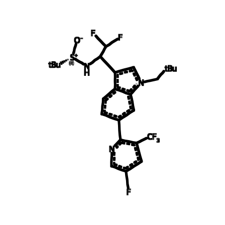 CC(C)(C)Cn1cc(C(N[S@@+]([O-])C(C)(C)C)C(F)F)c2ccc(-c3ncc(F)cc3C(F)(F)F)cc21